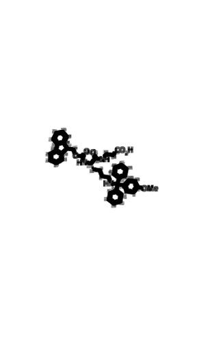 COc1ccc(C(NCCCC[C@H](NC(=O)OCC2c3ccccc3-c3ccccc32)C(=O)NCCC(=O)O)(c2ccccc2)c2ccccc2)cc1